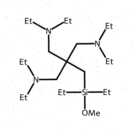 CCN(CC)CC(CN(CC)CC)(CN(CC)CC)C[Si](CC)(CC)OC